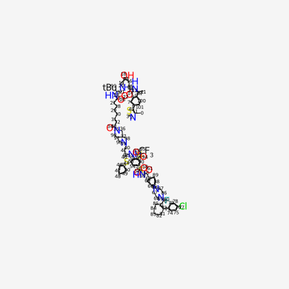 Cc1ncsc1-c1ccc([C@H](C)NC(=O)[C@@H]2C[C@@H](O)CN2C(=O)C(NC(=O)CCCCCCC(=O)N2CC3CN(CCC(CSc4ccccc4)Nc4ccc(S(=O)(=O)NC(=O)c5ccc(N6CCN(CC7=C(c8ccc(Cl)cc8F)CCCCC7)CC6)cc5)cc4S(=O)(=O)C(F)(F)F)CC3C2)C(C)(C)C)cc1